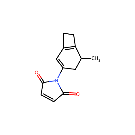 CC1CC(N2C(=O)C=CC2=O)=CC2=C1CC2